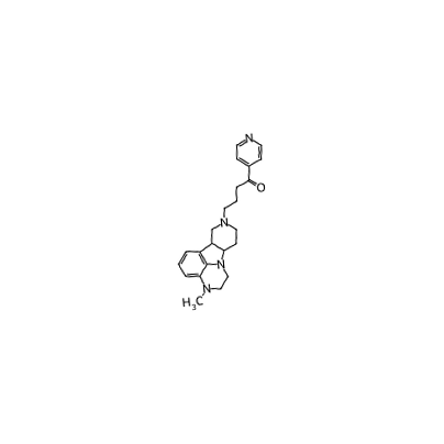 CN1CCN2c3c(cccc31)C1CN(CCCC(=O)c3ccncc3)CCC12